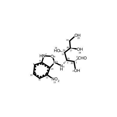 O=C[C@H](O)[C@H](NN1ONc2cccc([N+](=O)[O-])c21)[C@H](O)[C@H](O)CO